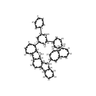 c1ccc(-c2cc(-c3cccc4c3oc3c4ccc4c5ccccc5n(-c5ccc6ccccc6c5)c43)nc(-c3ccccc3)n2)cc1